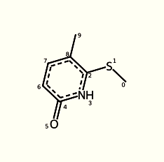 CSc1[nH]c(=O)ccc1C